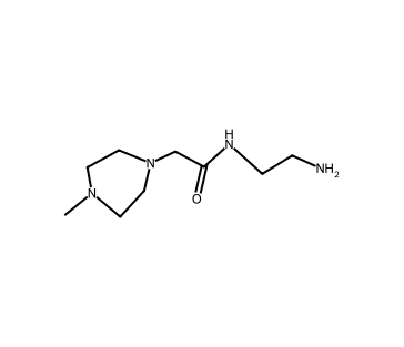 CN1CCN(CC(=O)NCCN)CC1